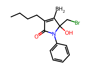 BC1=C(CCCC)C(=O)N(c2ccccc2)C1(O)CBr